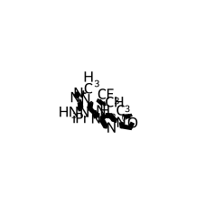 Cc1nnc2c(NC(C)C)nc(-c3nc4cnc(N5CCOC[C@@H]5C)cc4n3C(C)CC(F)(F)F)cn12